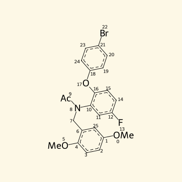 COc1ccc(OC)c(CN(C(C)=O)c2cc(F)ccc2Oc2ccc(Br)cc2)c1